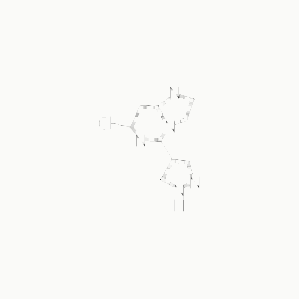 Clc1cc2nccn2c(-c2cn[nH]c2)n1